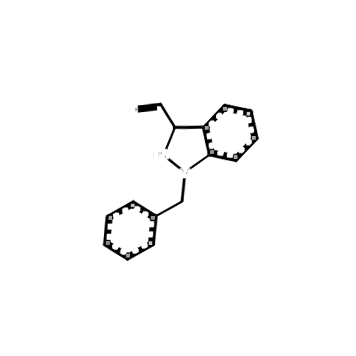 O=CC1NN(Cc2ccccc2)c2ccccc21